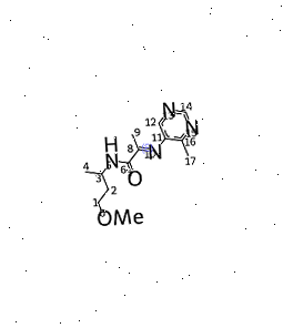 COCCC(C)NC(=O)/C(C)=N/c1cncnc1C